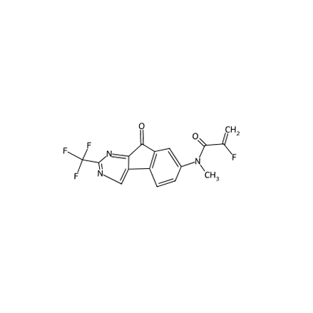 C=C(F)C(=O)N(C)c1ccc2c(c1)C(=O)c1nc(C(F)(F)F)ncc1-2